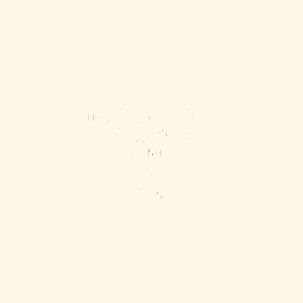 O=C(NC(Cc1ccc(O)cc1)C(=O)Nc1cccc2cnccc12)c1ccccc1